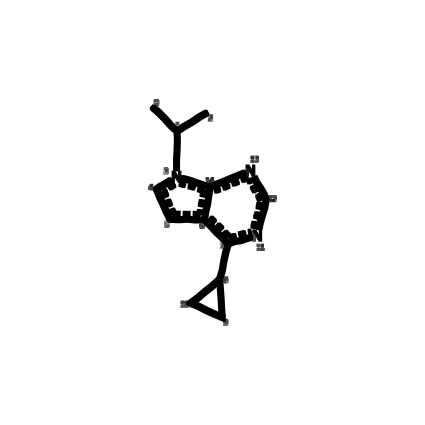 CC(C)n1ccc2c(C3CC3)ncnc21